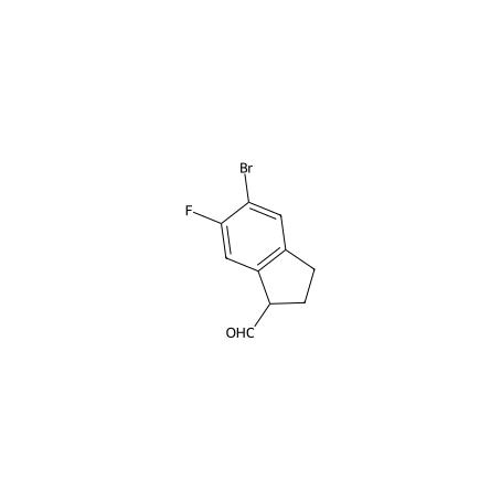 O=CC1CCc2cc(Br)c(F)cc21